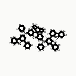 c1ccc(-c2cc(N(c3ccccc3)c3ccc4c(c3)Oc3cc(N(c5ccccc5)c5cc(-c6cccc7c6sc6ccccc67)c6oc7ccccc7c6c5)ccc3C43c4ccccc4-c4ccccc43)cc3c2oc2ccccc23)cc1